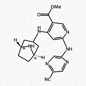 COC(=O)c1cnc(Nc2cnc(C#N)cn2)cc1NC1C[C@H]2CC[C@H](C1)N2